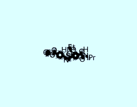 CCNS(=O)(=O)c1cc(C(=O)C(=O)NC(C)C)ccc1-c1cnc(C2CCC(C(=O)OC3COC3)CC2)s1